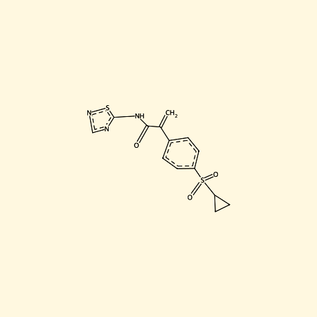 C=C(C(=O)Nc1ncns1)c1ccc(S(=O)(=O)C2CC2)cc1